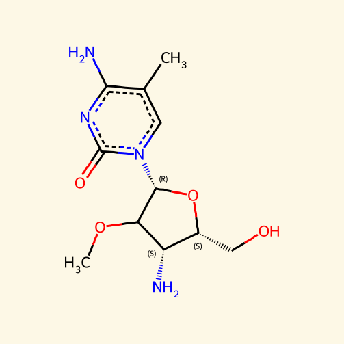 COC1[C@@H](N)[C@@H](CO)O[C@H]1n1cc(C)c(N)nc1=O